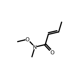 CC=CC(=O)N(C)OC